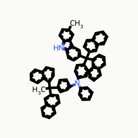 Cc1ccc2[nH]c3ccc(C(c4ccc(N(c5ccccc5)c5ccc(C(C)(c6ccc7ccccc7c6)c6cccc7ccccc67)cc5)cc4)(c4ccc5ccccc5c4)c4cccc5ccccc45)cc3c2c1